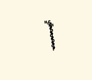 CCNCCOCCOCCOCCOCI